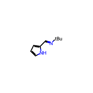 CC(C)(C)N=Cc1ccc[nH]1